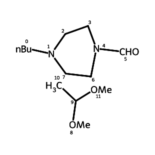 CCCCN1CCN(C=O)CC1.COC(C)OC